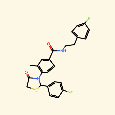 Cc1cc(C(=O)NCCc2ccc(F)cc2)ccc1N1C(=O)CSC1c1ccc(F)cc1